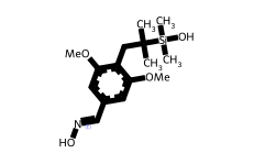 COc1cc(/C=N/O)cc(OC)c1CC(C)(C)[Si](C)(C)O